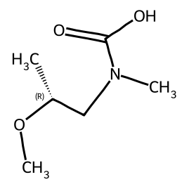 CO[C@H](C)CN(C)C(=O)O